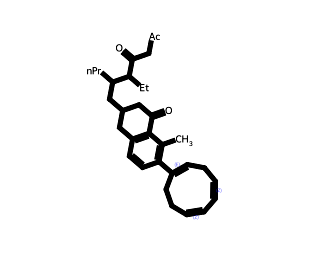 CCCC(CC1CC(=O)c2c(ccc(/C3=C/C/C=C\C=C/CC3)c2C)C1)C(CC)C(=O)CC(C)=O